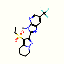 CCS(=O)(=O)c1c(-c2nc3cc(C(F)(F)F)cnc3n2C)nn2c1CCCC2